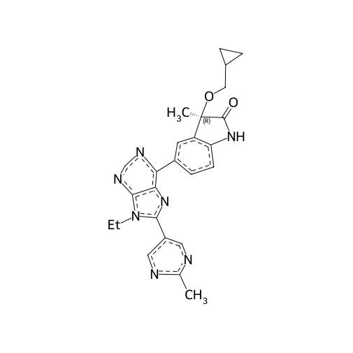 CCn1c(-c2cnc(C)nc2)nc2c(-c3ccc4c(c3)[C@@](C)(OCC3CC3)C(=O)N4)ncnc21